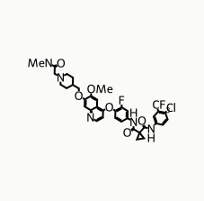 CNC(=O)CN1CCC(COc2cc3nccc(Oc4ccc(NC(=O)C5(C(=O)Nc6ccc(Cl)c(C(F)(F)F)c6)CC5)cc4F)c3cc2OC)CC1